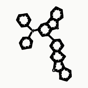 c1ccc(N(c2ccccc2)c2cc(-c3ccc4cc5c(cc4c3)oc3ccccc35)c3sc4ccccc4c3c2)cc1